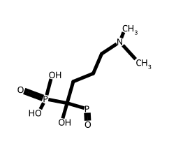 CN(C)CCCC(O)(P=O)P(=O)(O)O